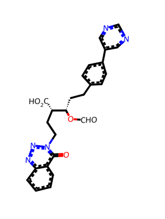 O=CO[C@@H](CCc1ccc(-c2cncnc2)cc1)[C@H](CCn1nnc2ccccc2c1=O)C(=O)O